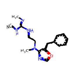 CN=C(NC#N)NCCN(C)c1ncoc1Cc1ccccc1